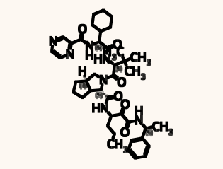 CCCC(NC(=O)[C@@H]1C2CCC[C@H]2CN1C(=O)[C@@H](NC(=O)[C@@H](NC(=O)c1cnccn1)C1CCCCC1)C(C)(C)C)C(=O)C(=O)N[C@@H](C)c1ccccc1